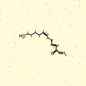 CCCCC/C=C\CC/C=C/C(N)=O